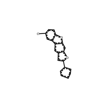 Clc1ccc2oc3cc4oc(-c5ccccc5)cc4cc3c2c1